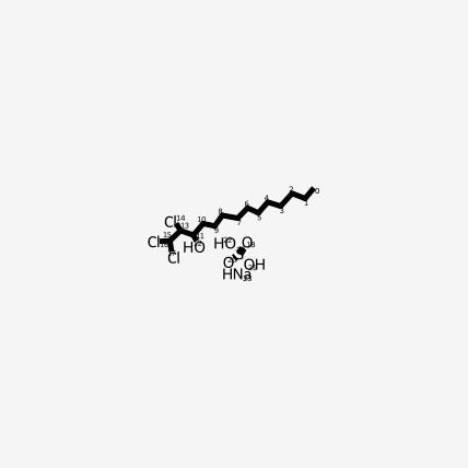 CCCCCCCCCCCC(O)C(Cl)C(Cl)Cl.O=S(=O)(O)O.[NaH]